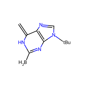 BC1=Nc2c(ncn2C(C)(C)C)C(=C)N1